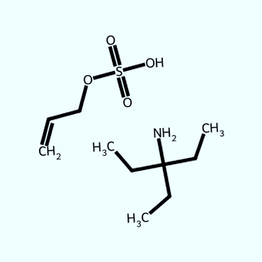 C=CCOS(=O)(=O)O.CCC(N)(CC)CC